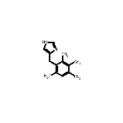 Cc1cc(C)c(Cc2c[nH]cn2)c(C)c1C